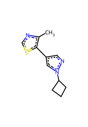 Cc1ncsc1-c1cnn(C2CCC2)c1